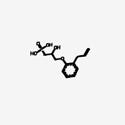 C=CCc1ccccc1OCC(O)[CH]P(=O)(O)O